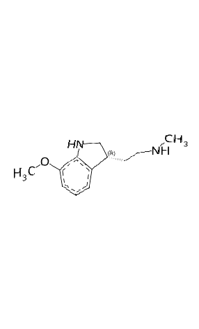 CNCC[C@H]1CNc2c(OC)cccc21